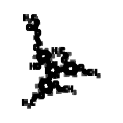 C=CC(=O)OCCOc1ccc(-c2nc(-c3ccc(OCC)cc3OCC)nc(-c3ccc(OCC)cc3OCC)n2)c(O)c1